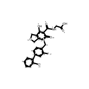 O=C(O)CNC(=O)c1c(O)c2c(n(Cc3ccc(-c4ccccc4Cl)cc3F)c1=O)COC2